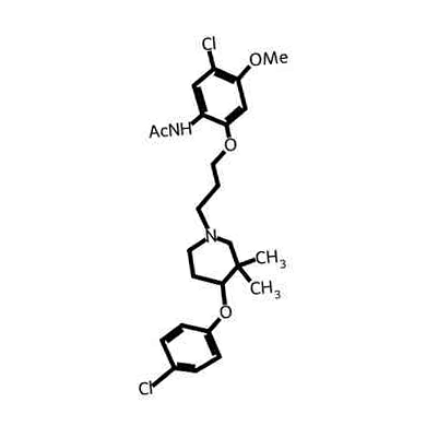 COc1cc(OCCCN2CCC(Oc3ccc(Cl)cc3)C(C)(C)C2)c(NC(C)=O)cc1Cl